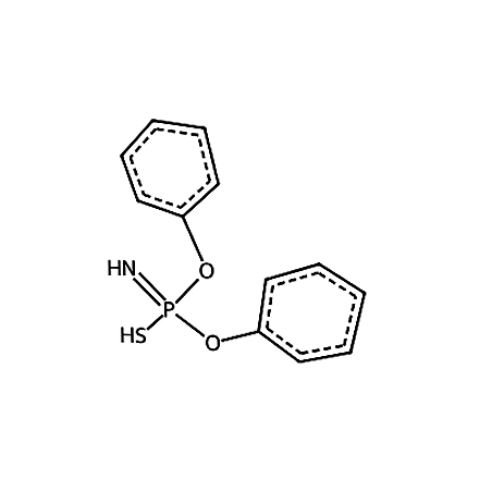 N=P(S)(Oc1ccccc1)Oc1ccccc1